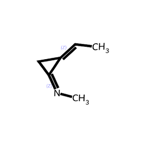 C/C=C1/C/C1=N/C